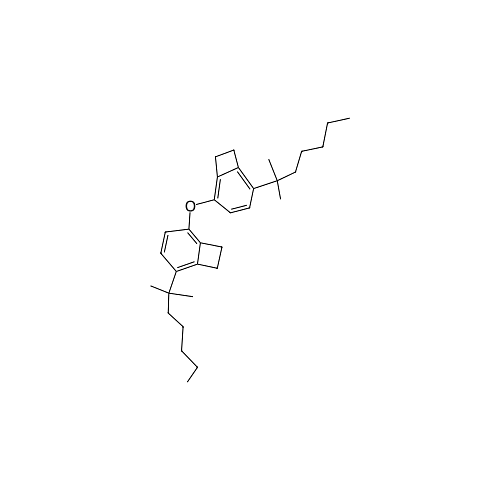 CCCCCC(C)(C)c1ccc(Oc2ccc(C(C)(C)CCCCC)c3c2CC3)c2c1CC2